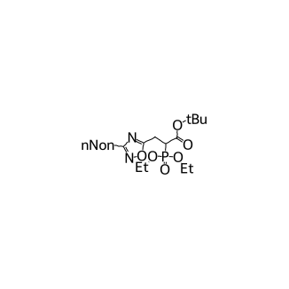 CCCCCCCCCc1noc(CC(C(=O)OC(C)(C)C)P(=O)(OCC)OCC)n1